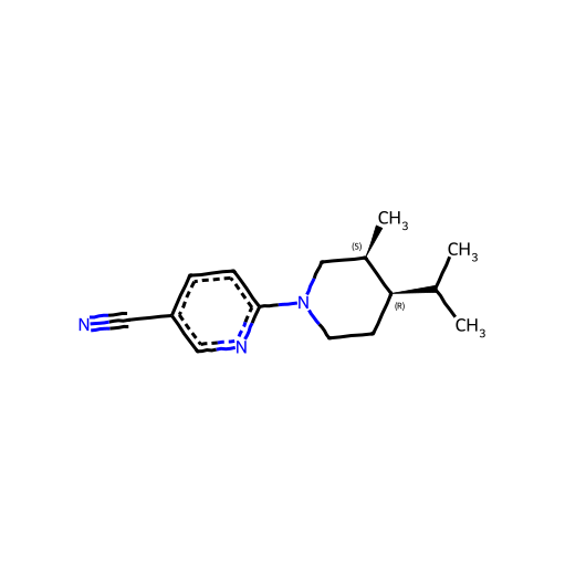 CC(C)[C@H]1CCN(c2ccc(C#N)cn2)C[C@H]1C